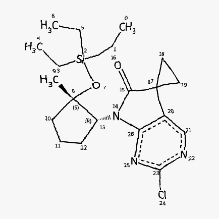 CC[Si](CC)(CC)O[C@@]1(C)CCC[C@H]1N1C(=O)C2(CC2)c2cnc(Cl)nc21